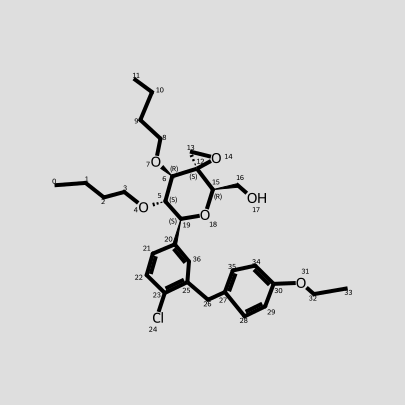 CCCCO[C@@H]1[C@@H](OCCCC)[C@]2(CO2)[C@@H](CO)O[C@H]1c1ccc(Cl)c(Cc2ccc(OCC)cc2)c1